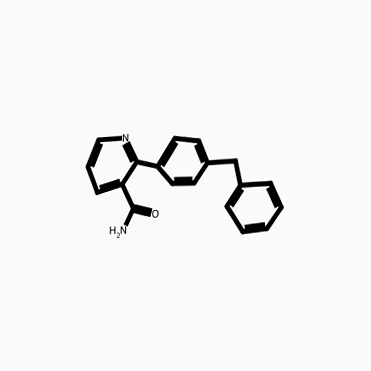 NC(=O)c1cccnc1-c1ccc(Cc2ccccc2)cc1